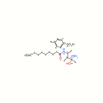 CCCCCCCCCCCCCCCCCC(=O)NC(C)C(C)C(C)(N)O.Cc1ccc(S(=O)(=O)O)cc1